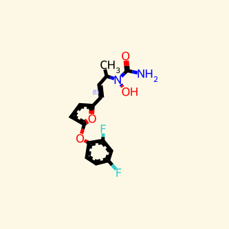 CC(/C=C/c1ccc(Oc2ccc(F)cc2F)o1)N(O)C(N)=O